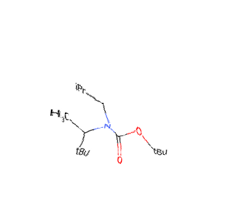 CC(C)CN(C(=O)OC(C)(C)C)C(C)C(C)(C)C